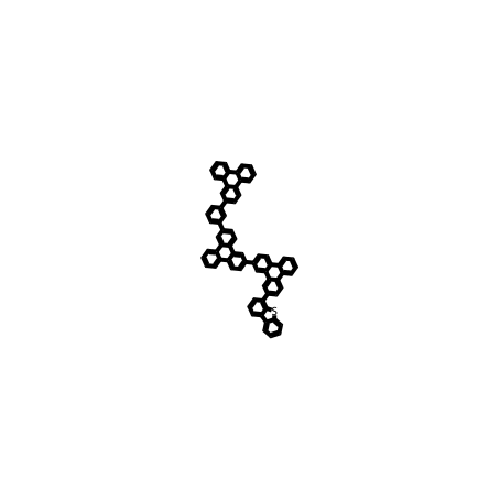 c1cc(-c2ccc3c4ccccc4c4ccccc4c3c2)cc(-c2ccc3c(c2)c2ccccc2c2ccc(-c4ccc5c6ccccc6c6ccc(-c7cccc8c7sc7ccccc78)cc6c5c4)cc23)c1